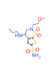 CCCN[C@H]1CN(CCOC)S(=O)(=O)c2sc(S(N)(=O)=O)cc21